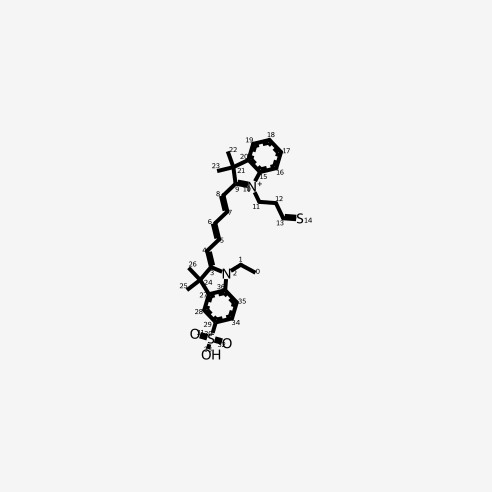 CCN1C(=CC=CC=CC2=[N+](CCC=S)c3ccccc3C2(C)C)C(C)(C)c2cc(S(=O)(=O)O)ccc21